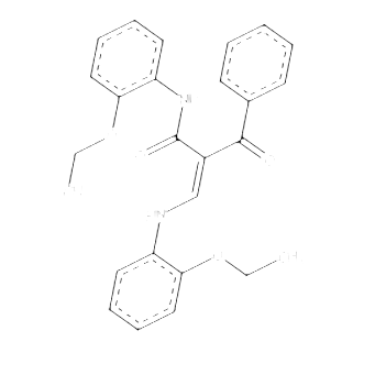 CCOc1ccccc1N/C=C(\C(=O)Nc1ccccc1OCC)C(=O)c1ccccc1